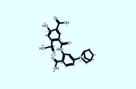 O=C(O)c1cc(C(=O)Nc2cc(N3CC4CCC3C4)ccc2C(=O)O)c(C(=O)O)cc1O